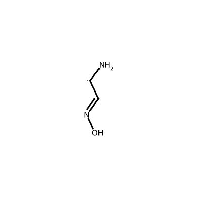 N[CH]/C=N/O